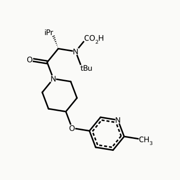 Cc1ccc(OC2CCN(C(=O)[C@H](C(C)C)N(C(=O)O)C(C)(C)C)CC2)cn1